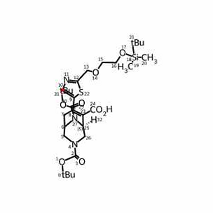 CC(C)(C)OC(=O)N1CC2CC(c3cnc(COCCO[Si](C)(C)C(C)(C)C)s3)=C(C(=O)O)[C@@H](C1)N2C(=O)OC(C)(C)C